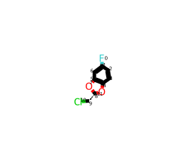 Fc1ccc2c(c1)O[C@@H](CCl)O2